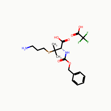 CC(C)(SCCCN)[C@@H](NC(=O)OCc1ccccc1)C(=O)O.O=C(O)C(F)(F)F